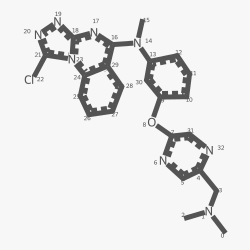 CN(C)Cc1cnc(Oc2cccc(N(C)c3nc4nnc(Cl)n4c4ccccc34)c2)cn1